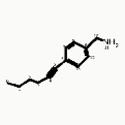 CCCCC#Cc1ccc(CN)cc1